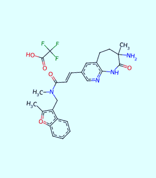 Cc1oc2ccccc2c1CN(C)C(=O)/C=C/c1cnc2c(c1)CCC(C)(N)C(=O)N2.O=C(O)C(F)(F)F